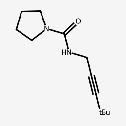 CC(C)(C)C#CCNC(=O)N1CCCC1